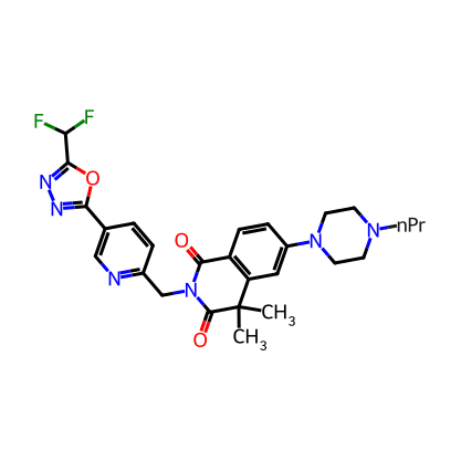 CCCN1CCN(c2ccc3c(c2)C(C)(C)C(=O)N(Cc2ccc(-c4nnc(C(F)F)o4)cn2)C3=O)CC1